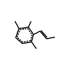 CC=Cc1c(C)ccc(C)c1C